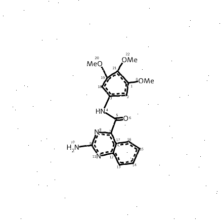 COc1cc(NC(=O)c2nc(N)nc3ccccc23)cc(OC)c1OC